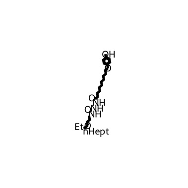 CCCCCCCC(CC)OCCCNC(=O)NCNC(=O)CCCCCCCCCCOc1ccc(O)cc1